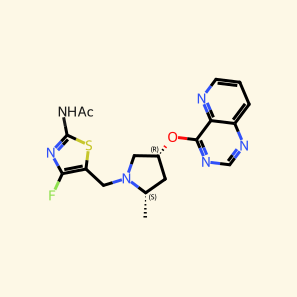 CC(=O)Nc1nc(F)c(CN2C[C@H](Oc3ncnc4cccnc34)C[C@@H]2C)s1